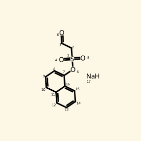 O=CCS(=O)(=O)Oc1cccc2ccccc12.[NaH]